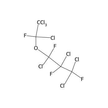 FC(Cl)(Cl)C(F)(Cl)C(F)(Cl)OC(F)(Cl)C(Cl)(Cl)Cl